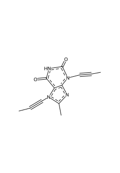 CC#Cn1c(C)nc2c1c(=O)[nH]c(=O)n2C#CC